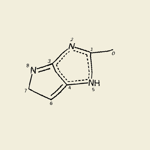 Cc1nc2c([nH]1)=CCN=2